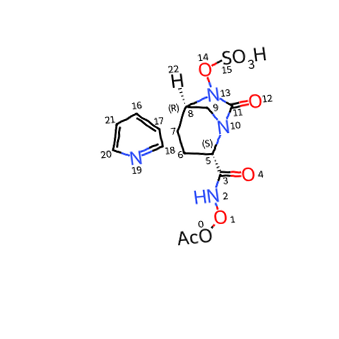 CC(=O)OONC(=O)[C@@H]1CC[C@@H]2CN1C(=O)N2OS(=O)(=O)O.c1ccncc1